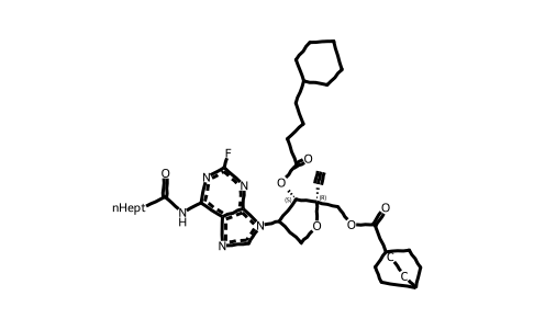 C#C[C@]1(COC(=O)C23CCC(CC2)CC3)OCC(n2cnc3c(NC(=O)CCCCCCC)nc(F)nc32)[C@@H]1OC(=O)CCCC1CCCCC1